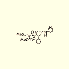 COC(=O)[C@H](CCSC)N(C)C(=O)C1=CCC(=CNc2cccnc2)C=C1c1ccccc1